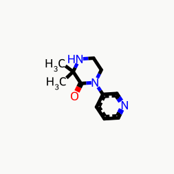 CC1(C)NCCN(c2cccnc2)C1=O